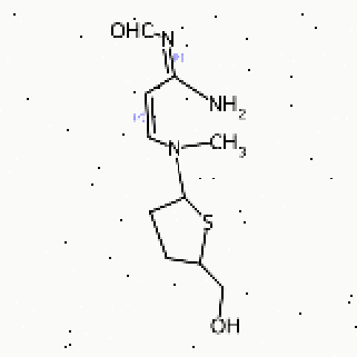 CN(/C=C\C(N)=N/C=O)C1CCC(CO)S1